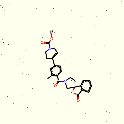 Cc1cc(C2=CCN(C(=O)OC(C)(C)C)CC2)ccc1C(=O)N1CC[C@@]2(C1)OC(=O)c1ccccc12